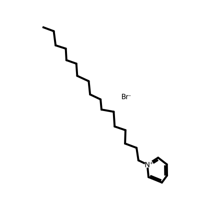 CCCCCCCCCCCCCCCCC[n+]1ccccc1.[Br-]